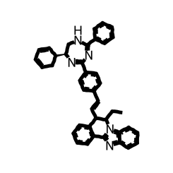 CCC1C(/C=C/c2ccc(C3=N[C@@H](C4C=CC=CC4)CNC(c4ccccc4)=N3)cc2)c2ccccc2-c2nc3ccccc3n21